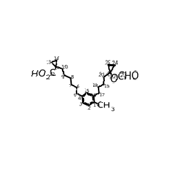 Cc1ccc(CCCCCCC2(C(=O)O)CC2)cc1CCCCC1(OC=O)CC1